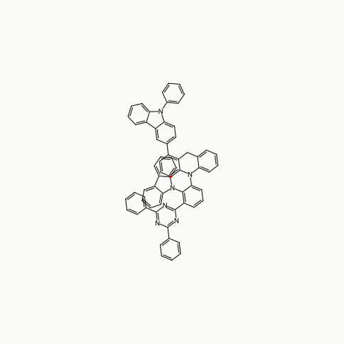 c1ccc(-c2nc(-c3ccccc3)nc(-c3cccc(N4c5ccccc5Cc5c(-c6ccc7c(c6)c6ccccc6n7-c6ccccc6)cccc54)c3-n3c4ccccc4c4ccccc43)n2)cc1